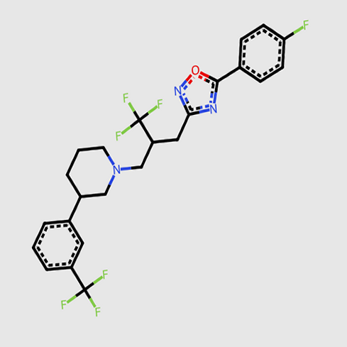 Fc1ccc(-c2nc(CC(CN3CCCC(c4cccc(C(F)(F)F)c4)C3)C(F)(F)F)no2)cc1